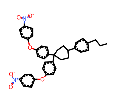 CCCc1ccc(C2CCC(c3ccc(Oc4ccc([N+](=O)[O-])cc4)cc3)(c3ccc(Oc4ccc([N+](=O)[O-])cc4)cc3)CC2)cc1